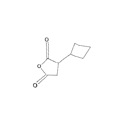 O=C1CC(C2CCC2)C(=O)O1